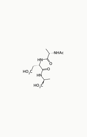 CC(=O)N[C@@H](C)C(=O)N[C@@H](CC(=O)O)C(=O)N[C@@H](C)C(=O)O